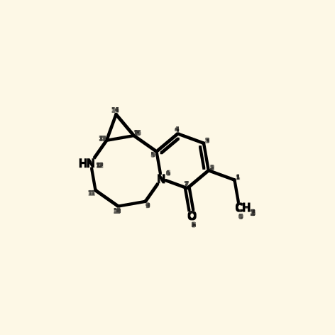 CCc1ccc2n(c1=O)CCCNC1CC21